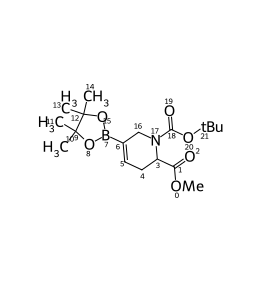 COC(=O)C1CC=C(B2OC(C)(C)C(C)(C)O2)CN1C(=O)OC(C)(C)C